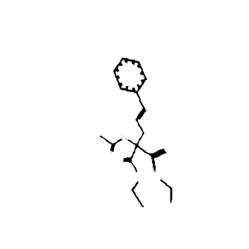 CCOC(=O)C(C/C=C/c1ccccc1)(NC(C)=O)C(=O)OCC